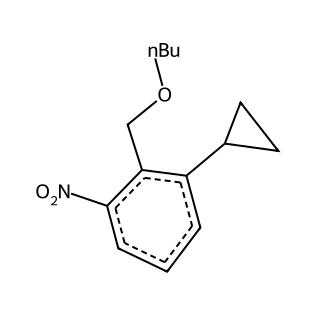 CCCCOCc1c(C2CC2)cccc1[N+](=O)[O-]